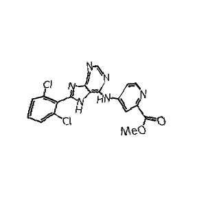 COC(=O)c1cc(Nc2ncnc3nc(-c4c(Cl)cccc4Cl)[nH]c23)ccn1